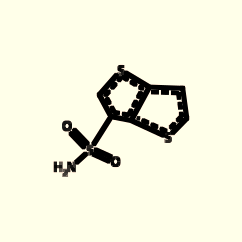 NS(=O)(=O)c1csc2ccsc12